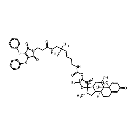 CCC(=O)O[C@]1(C(=O)COC(=O)NCCSSC(C)(C)CNC(=O)CCN2C(=O)C(Sc3ccccc3)=C(Sc3ccccc3)C2=O)[C@@H](C)CC2[C@@H]3CCC4=CC(=O)C=C[C@]4(C)[C@@]3(Cl)[C@@H](O)C[C@@]21C